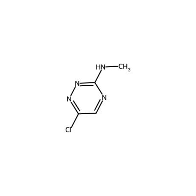 CNc1ncc(Cl)nn1